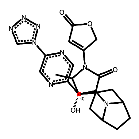 CC1CC2(CC3CCC(C2)N3C[C@H](O)c2cnc(-n3cnnn3)cn2)C(=O)N1C1=CC(=O)OC1